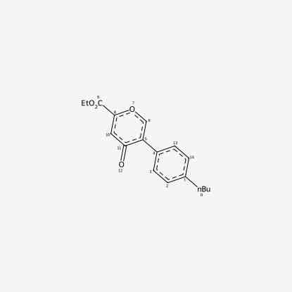 CCCCc1ccc(-c2coc(C(=O)OCC)cc2=O)cc1